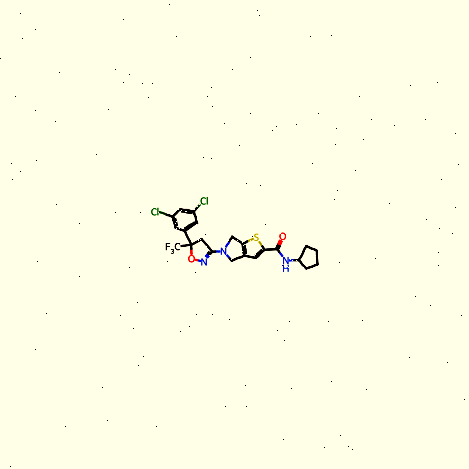 O=C(NC1CCCC1)c1cc2c(s1)CN(C1=NOC(c3cc(Cl)cc(Cl)c3)(C(F)(F)F)C1)C2